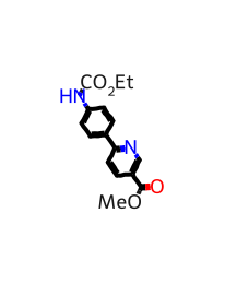 CCOC(=O)Nc1ccc(-c2ccc(C(=O)OC)cn2)cc1